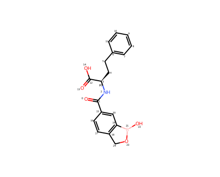 O=C(N[C@H](CCc1ccccc1)C(=O)O)c1ccc2c(c1)B(O)OC2